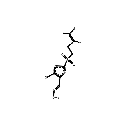 CO/N=C/c1nc(S(=O)(=O)CCC(F)=C(F)F)sc1Cl